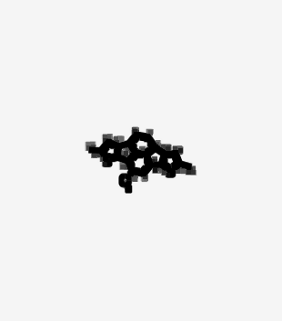 COc1cc2c3c(ccc4c3c1-c1sc(C)cc1-4)-c1cc(C)sc1-2